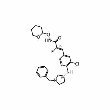 O=C(NOC1CCCCO1)/C(F)=C/c1cnc(N[C@@H]2CCN(Cc3ccccc3)C2)c(Cl)c1